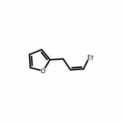 CC/C=C\Cc1ccco1